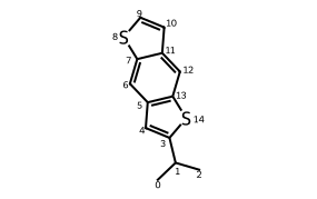 CC(C)c1cc2cc3sccc3cc2s1